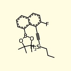 CCC[SiH2]C#Cc1c(F)ccc2cccc(B3OC(C)(C)C(C)(C)O3)c12